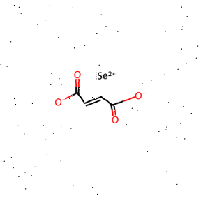 O=C([O-])C=CC(=O)[O-].[Se+2]